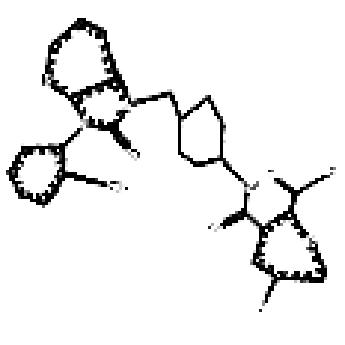 N#Cc1ccccc1-n1c(=O)n(CC2CCC(NC(=O)c3cc(Cl)cnc3C(F)F)CC2)c2cccnc21